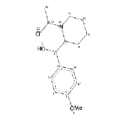 COc1ccc(C(O)C2CCCCN2P(C)Cl)cc1